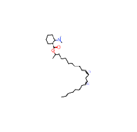 CCCCCCC/C=C\C/C=C\CCCCCCCCC(C)OC(=O)C1CCCCC1N(C)C